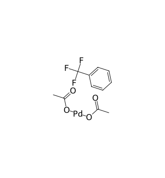 CC(=O)[O][Pd][O]C(C)=O.FC(F)(F)c1ccccc1